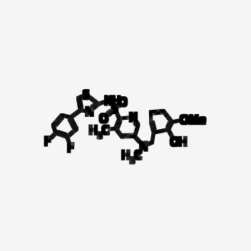 COc1cccc(CN(C)c2cnc(S(=O)(=O)Nc3nc(-c4ccc(F)c(F)c4)cs3)c(C)c2)c1O